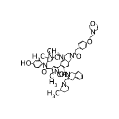 Cc1c(N(C(=O)c2cc(-c3cc4c(cc3C(=O)N3Cc5ccccc5C[C@H]3CN3CCC[C@H](C)C3)CN(C(=O)Cc3ccc(OCCN5CCOCC5)cc3)CC4)n(C)c2C)c2ccc(O)cc2)cc(C#N)n1C